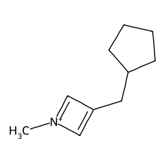 C[N+]1=CC(CC2CCCC2)=C1